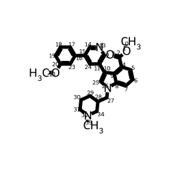 COC(=O)c1cccc2c1c(-c1cncc(-c3cccc(OC)c3)c1)cn2CC1CCCN(C)C1